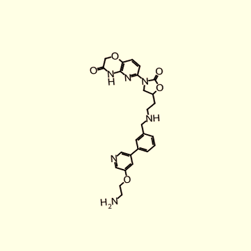 NCCOc1cncc(-c2cccc(CNCCC3CN(c4ccc5c(n4)NC(=O)CO5)C(=O)O3)c2)c1